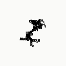 COC(=O)c1ccc(NC(=O)CCCNC(=O)C[C@@H]2N=C(c3ccc(Cl)cc3)c3c(sc(C)c3C)-n3c(C)nnc32)cc1C#CC(N)C(=O)O